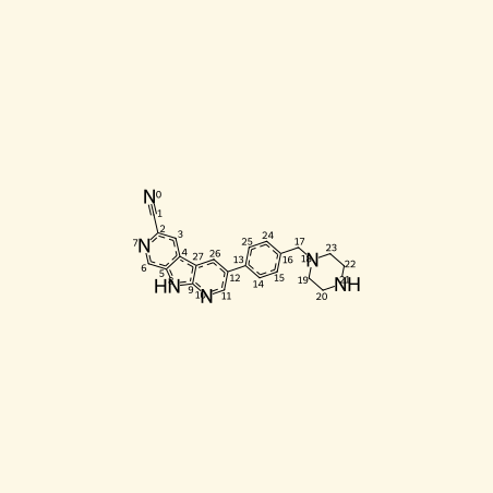 N#Cc1cc2c(cn1)[nH]c1ncc(-c3ccc(CN4CCNCC4)cc3)cc12